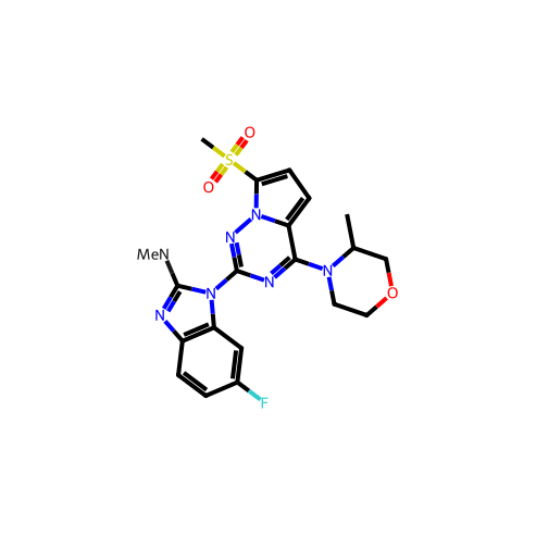 CNc1nc2ccc(F)cc2n1-c1nc(N2CCOCC2C)c2ccc(S(C)(=O)=O)n2n1